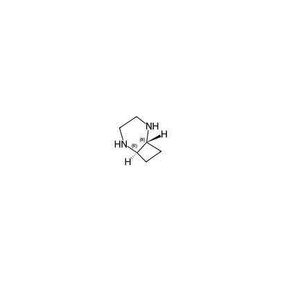 C1CN[C@@H]2CC[C@H]2N1